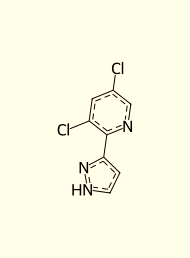 Clc1cnc(-c2cc[nH]n2)c(Cl)c1